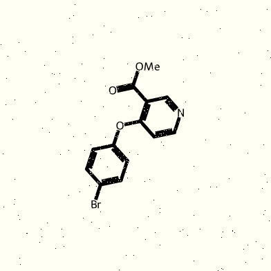 COC(=O)c1cnccc1Oc1ccc(Br)cc1